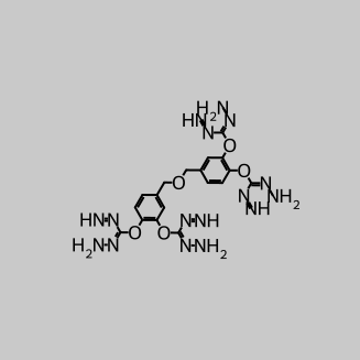 N=NC(=NN)Oc1ccc(COCc2ccc(OC(N=N)=NN)c(OC(N=N)=NN)c2)cc1OC(N=N)=NN